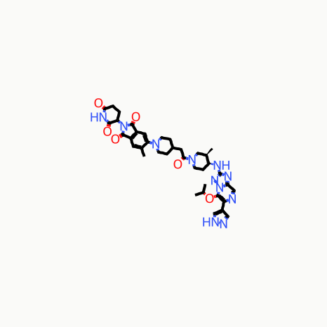 Cc1cc2c(cc1N1CCC(CC(=O)N3CC[C@H](Nc4nc5cnc(-c6cn[nH]c6)c(OC(C)C)n5n4)[C@H](C)C3)CC1)C(=O)N(C1CCC(=O)NC1=O)C2=O